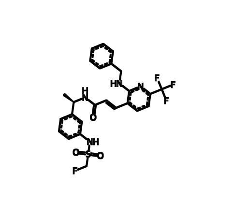 C[C@@H](NC(=O)/C=C/c1ccc(C(F)(F)F)nc1NCc1ccccc1)c1cccc(NS(=O)(=O)CF)c1